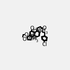 C[C@]12CCC(=O)N(Cc3ccc(Cl)cc3)C1=CC[C@@H]1[C@@H]2C(=O)C[C@@]2(C)[C@H]1CCC21OCCO1